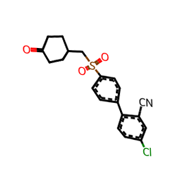 N#Cc1cc(Cl)ccc1-c1ccc(S(=O)(=O)CC2CCC(=O)CC2)cc1